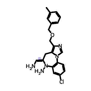 Cc1cccc(COCc2ncn3c2C/C(=C/N)N(N)c2cc(Cl)ccc2-3)c1